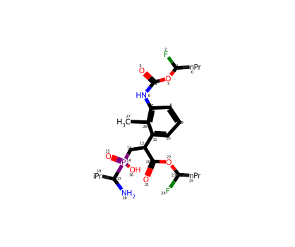 CCCC(F)OC(=O)Nc1cccc(C(CP(=O)(O)C(N)C(C)C)C(=O)OC(F)CCC)c1C